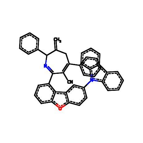 C=C1CC(c2ccccc2)=C(C#N)C(c2cccc3oc4ccc(-n5c6ccccc6c6ccccc65)cc4c23)=NC1c1ccccc1